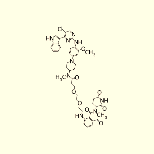 COc1cc(N2CCC(N(C)C(=O)CCOCCOCCNc3cccc(C=O)c3C(=O)N(C)C3CCC(=O)NC3=O)CC2)ccc1Nc1ncc(Cl)c(-c2c[nH]c3ccccc23)n1